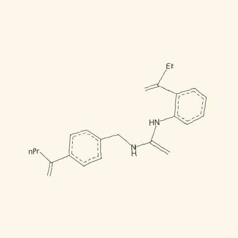 C=C(NCc1ccc(C(=C)CCC)cc1)Nc1ccccc1C(=C)CC